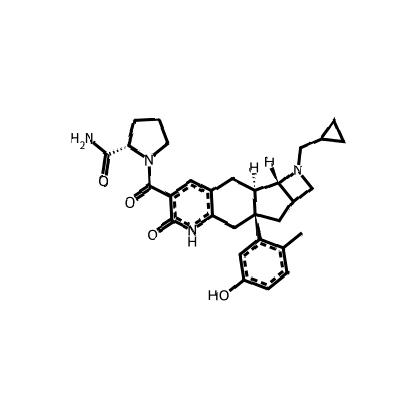 Cc1ccc(O)cc1[C@@]12Cc3[nH]c(=O)c(C(=O)N4CCC[C@H]4C(N)=O)cc3C[C@H]1[C@H]1C(CN1CC1CC1)C2